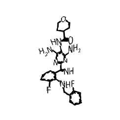 N=C(c1nc(N)c(NC(=O)C2CCOCC2)c(N)n1)c1cccc(F)c1NCc1ccccc1F